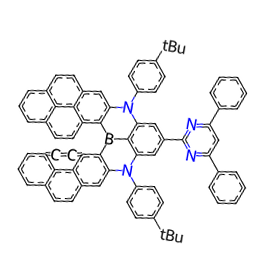 CC(C)(C)c1ccc(N2c3cc(-c4nc(-c5ccccc5)cc(-c5ccccc5)n4)cc4c3B(c3c2cc2ccc5cccc6ccc3c2c56)c2c(cc3ccc5cccc6ccc2c3c56)N4c2ccc(C(C)(C)C)cc2)cc1